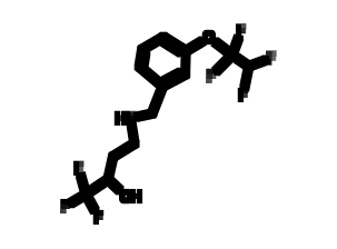 OC(CCNCc1cccc(OC(F)(F)C(F)F)c1)C(F)(F)F